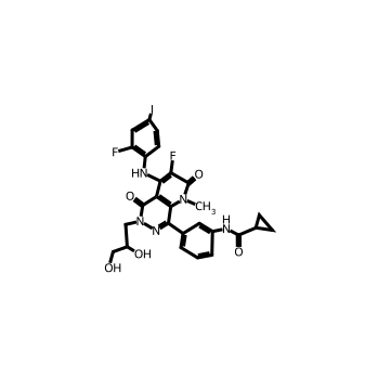 Cn1c(=O)c(F)c(Nc2ccc(I)cc2F)c2c(=O)n(CC(O)CO)nc(-c3cccc(NC(=O)C4CC4)c3)c21